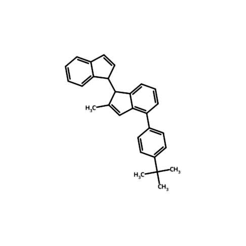 CC1=Cc2c(-c3ccc(C(C)(C)C)cc3)cccc2C1C1C=Cc2ccccc21